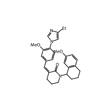 CCc1cn(-c2ccc(C=C3CCCN(C4CCCc5ccc(OC)cc54)C3=O)cc2OC)cn1